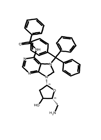 NC[C@H]1O[C@@H](N2CN(C(c3ccccc3)(c3ccccc3)c3ccccc3)c3c(NC(=O)c4ccccc4)ncnc32)CC1O